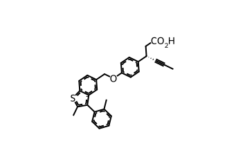 CC#C[C@@H](CC(=O)O)c1ccc(OCc2ccc3sc(C)c(-c4ccccc4C)c3c2)cc1